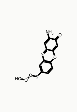 Nc1cc2nc3cc(SOOO)ccc3oc-2cc1=O